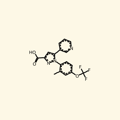 Cc1cc(OC(F)(F)F)ccc1-n1nc(C(=O)O)cc1-c1cccnc1